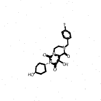 O=C1c2c(O)c(=O)n([C@H]3CC[C@H](O)CC3)c(=O)n2CCN1Cc1ccc(F)cc1